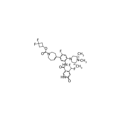 C[C@@H]1CN(c2cc(F)c(C3=CCCN(C(=O)OC4CC(F)(F)C4)CC3)cc2NC(=O)c2c[nH]c(=O)cc2C(F)F)C[C@H](C)N1C